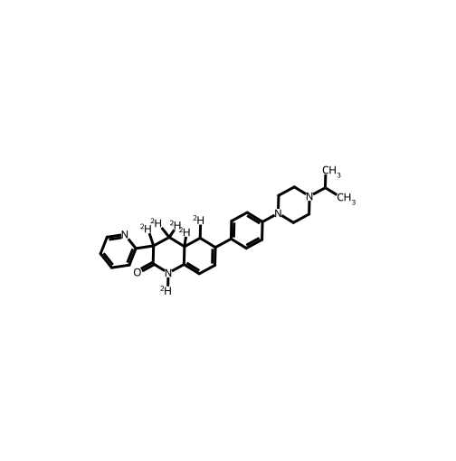 [2H]C1C(c2ccc(N3CCN(C(C)C)CC3)cc2)=CC=C2N([2H])C(=O)C([2H])(c3ccccn3)C([2H])([2H])C21[2H]